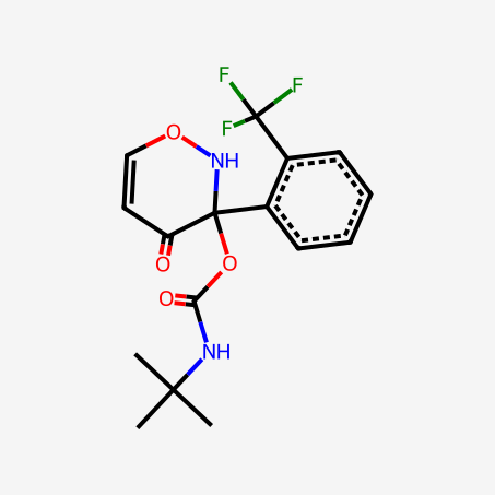 CC(C)(C)NC(=O)OC1(c2ccccc2C(F)(F)F)NOC=CC1=O